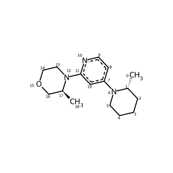 C[C@@H]1CCCCN1c1ccnc(N2CCOC[C@@H]2C)c1